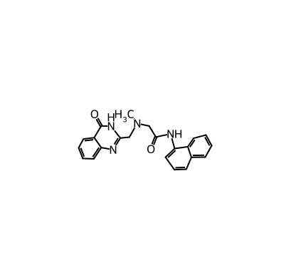 CN(CC(=O)Nc1cccc2ccccc12)Cc1nc2ccccc2c(=O)[nH]1